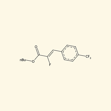 CCCCOC(=O)/C(F)=C/c1ccc(C(F)(F)F)cc1